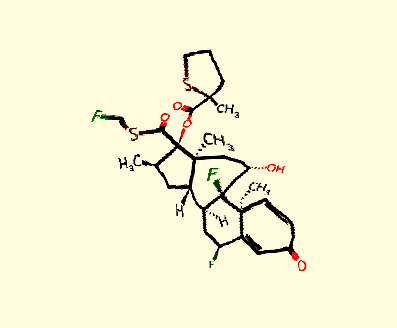 C[C@@H]1C[C@H]2[C@@H]3C[C@H](F)C4=CC(=O)C=C[C@]4(C)[C@@]3(F)[C@@H](O)C[C@]2(C)[C@@]1(OC(=O)C1(C)CCCS1)C(=O)SCF